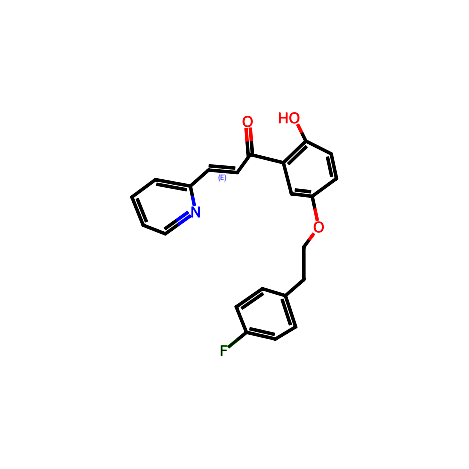 O=C(/C=C/c1ccccn1)c1cc(OCCc2ccc(F)cc2)ccc1O